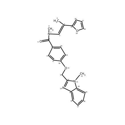 C/C(=C\N(C)C(=O)c1ccc(OCc2nc3ccccc3n2C)cc1)c1ccco1